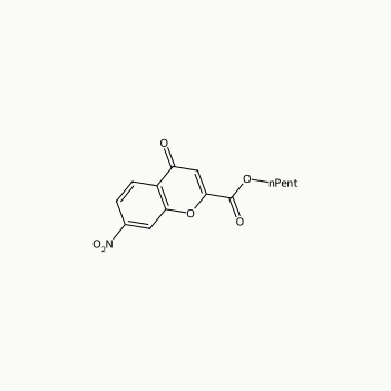 CCCCCOC(=O)c1cc(=O)c2ccc([N+](=O)[O-])cc2o1